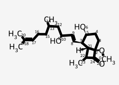 CO[C@]12CC[C@@H](O)[C@H](/C=C/[C@@H](O)CC(C)CCC=C(C)C)[C@H]1C(C)C2=O